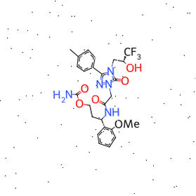 COc1ccccc1C(CCOC(N)=O)NC(=O)Cn1nc(-c2ccc(C)cc2)n(C[C@H](O)C(F)(F)F)c1=O